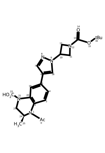 CC(=O)N1c2ccc(-c3cnn(C4CN(C(=O)OC(C)(C)C)C4)c3)cc2N(C(=O)O)C[C@@H]1C